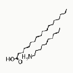 CCCCCCCCCCCCCCCCCC(=O)O.CCCCCCCCCCN